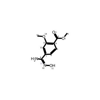 COC(=O)c1ccc(/C(N)=N\O)cc1OC